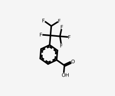 O=C(O)c1cccc(C(F)(C(F)F)C(F)(F)F)c1